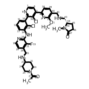 COc1nc(-c2ccnc(-c3cccc(Nc4nccc(CNC5CCN(C(C)=O)CC5)c4F)c3Cl)c2Cl)ccc1CNC[C@@H]1CCC(=O)N1C